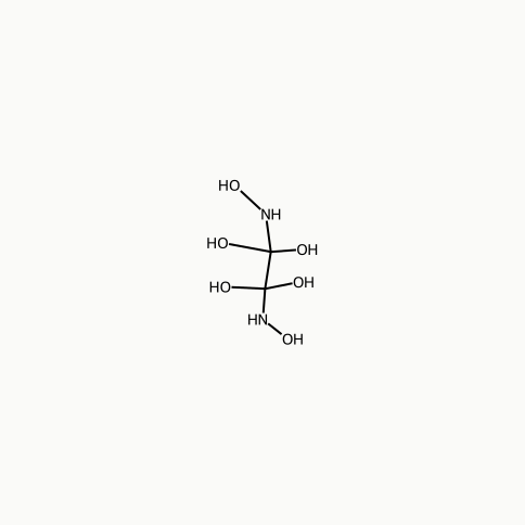 ONC(O)(O)C(O)(O)NO